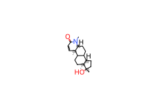 CN1C(=O)C=C[C@]2(C)C3CC[C@@]4(C)[C@@H](CC[C@]4(C)O)C3CC[C@@H]12